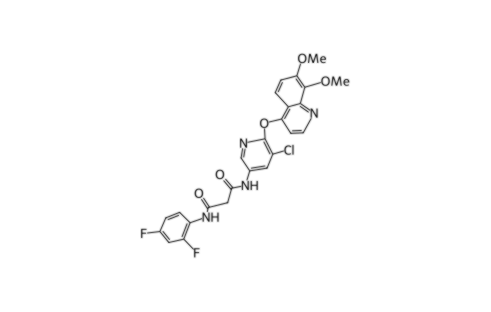 COc1ccc2c(Oc3ncc(NC(=O)CC(=O)Nc4ccc(F)cc4F)cc3Cl)ccnc2c1OC